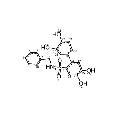 O=S(=O)(NCc1ccccc1)c1cc(O)c(O)cc1-c1ccc(O)c(O)c1